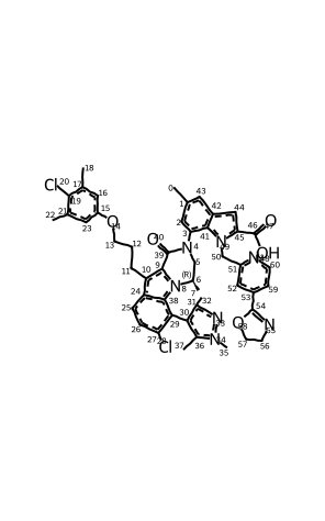 Cc1cc(N2C[C@@H](C)n3c(c(CCCOc4cc(C)c(Cl)c(C)c4)c4ccc(Cl)c(-c5c(C)nn(C)c5C)c43)C2=O)c2c(c1)cc(C(=O)O)n2Cc1cc(C2=NCCO2)ccn1